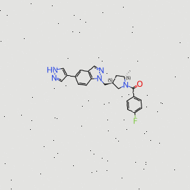 C[C@H]1C[C@H](Cn2ncc3cc(-c4cn[nH]c4)ccc32)CN1C(=O)c1ccc(F)cc1